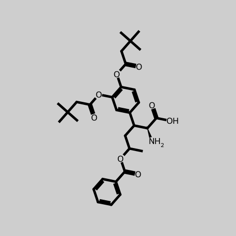 CC(CC(c1ccc(OC(=O)CC(C)(C)C)c(OC(=O)CC(C)(C)C)c1)[C@H](N)C(=O)O)OC(=O)c1ccccc1